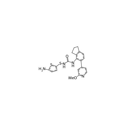 COc1cc(-c2ccc3c(c2NC(=O)NSc2ccc(N)s2)CCC3)ccn1